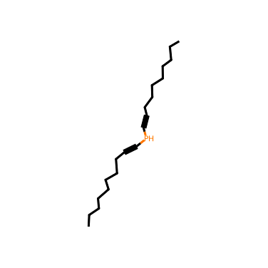 CCCCCCCCC#CPC#CCCCCCCCC